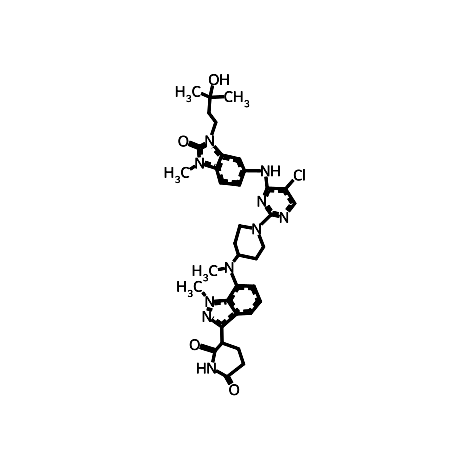 CN(c1cccc2c(C3CCC(=O)NC3=O)nn(C)c12)C1CCN(c2ncc(Cl)c(Nc3ccc4c(c3)n(CCC(C)(C)O)c(=O)n4C)n2)CC1